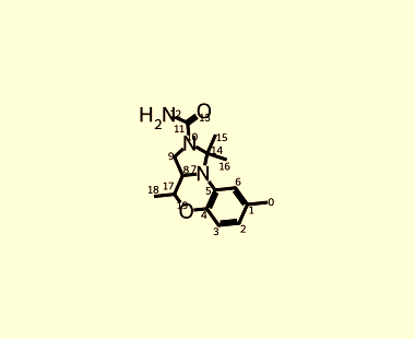 Cc1ccc2c(c1)N1C(CN(C(N)=O)C1(C)C)C(C)O2